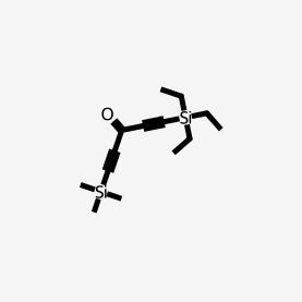 CC[Si](C#CC(=O)C#C[Si](C)(C)C)(CC)CC